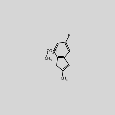 CC(=O)O.CC1=Cc2cc(F)ccc2C1